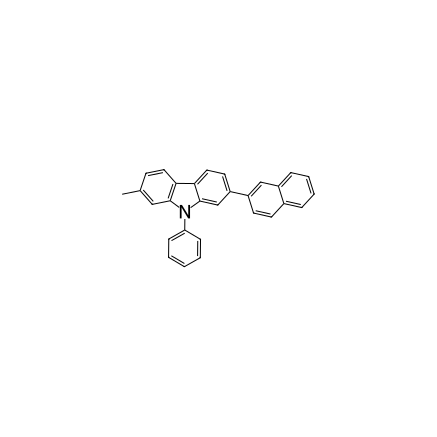 Cc1ccc2c3ccc(-c4ccc5ccccc5c4)cc3n(-c3ccccc3)c2c1